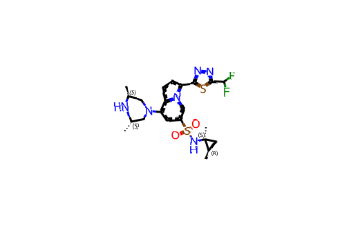 C[C@@H]1C[C@]1(C)NS(=O)(=O)c1cc(N2C[C@H](C)N[C@@H](C)C2)c2ccc(-c3nnc(C(F)F)s3)n2c1